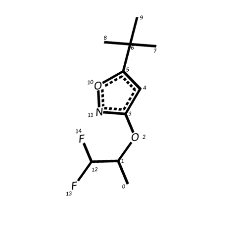 CC(Oc1cc(C(C)(C)C)on1)C(F)F